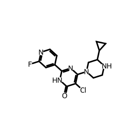 O=c1[nH]c(-c2ccnc(F)c2)nc(N2CCNC(C3CC3)C2)c1Cl